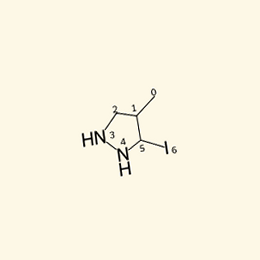 CC1CNNC1I